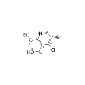 CCOc1ncc(Br)c(Cl)c1CO